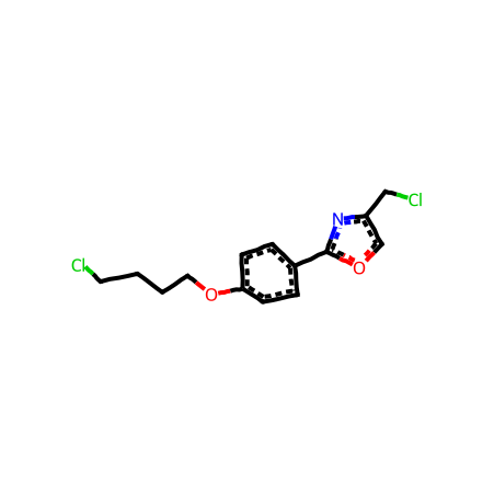 ClCCCCOc1ccc(-c2nc(CCl)co2)cc1